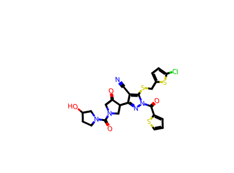 N#Cc1c(C2CN(C(=O)N3CCC(O)C3)CC2=O)nn(C(=O)c2cccs2)c1SCc1ccc(Cl)s1